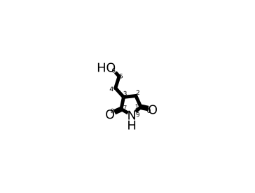 O=C1CC(CCO)C(=O)N1